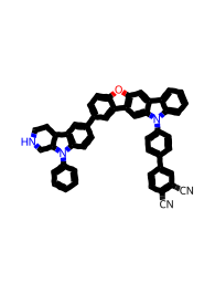 N#Cc1ccc(-c2ccc(-n3c4ccccc4c4cc5oc6ccc(-c7ccc8c(c7)C7CCNCC7N8c7ccccc7)cc6c5cc43)cc2)cc1C#N